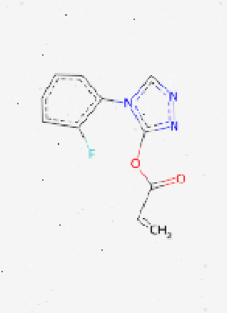 C=CC(=O)Oc1nncn1-c1ccccc1F